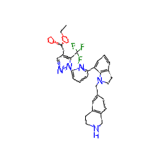 CCOC(=O)c1cnn(-c2cccc(-c3cccc4c3N(Cc3ccc5c(c3)CCNC5)CC4)n2)c1C(F)(F)F